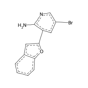 Nc1ncc(Br)cc1-c1cc2ccccc2o1